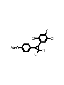 COc1ccc(C2C(c3cc(Cl)c(Cl)cc3Cl)C2(Cl)Cl)cc1